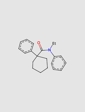 CCN(C(=O)C1(c2ccccc2)CCCCC1)c1ccccc1